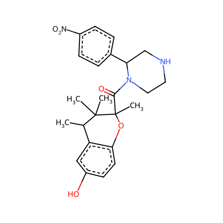 CC1c2cc(O)ccc2OC(C)(C(=O)N2CCNCC2c2ccc([N+](=O)[O-])cc2)C1(C)C